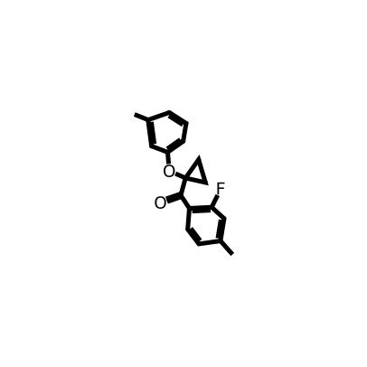 Cc1cccc(OC2(C(=O)c3ccc(C)cc3F)CC2)c1